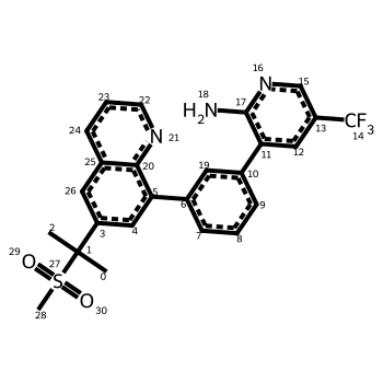 CC(C)(c1cc(-c2cccc(-c3cc(C(F)(F)F)cnc3N)c2)c2ncccc2c1)S(C)(=O)=O